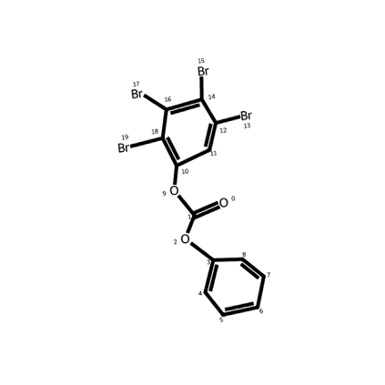 O=C(Oc1ccccc1)Oc1cc(Br)c(Br)c(Br)c1Br